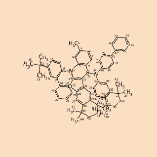 Cc1cc2c3c(c1)N(c1ccc(C(C)(C)C)cc1-c1ccccc1)c1oc4cc5c(cc4c1B3N(c1ccc3c(c1)C(C)(C)CCC3(C)C)c1ccc(-c3ccccc3)cc1-2)C(C)(C)CCC5(C)C